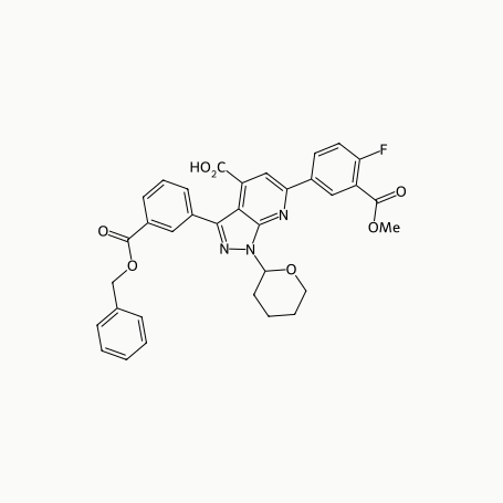 COC(=O)c1cc(-c2cc(C(=O)O)c3c(-c4cccc(C(=O)OCc5ccccc5)c4)nn(C4CCCCO4)c3n2)ccc1F